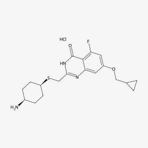 Cl.N[C@H]1CC[C@@H](SCc2nc3cc(OCC4CC4)cc(F)c3c(=O)[nH]2)CC1